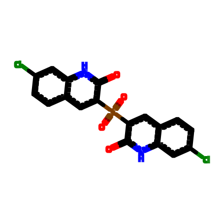 O=c1[nH]c2cc(Cl)ccc2cc1S(=O)(=O)c1cc2ccc(Cl)cc2[nH]c1=O